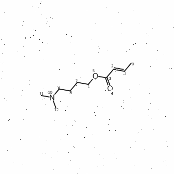 CC=CC(=O)OCCCCN(C)C